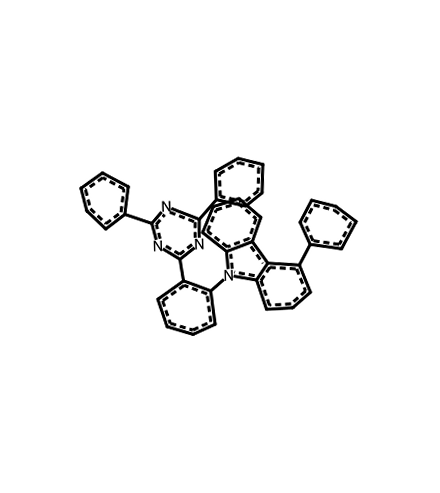 c1ccc(-c2nc(-c3ccccc3)nc(-c3ccccc3-n3c4ccccc4c4c(-c5ccccc5)cccc43)n2)cc1